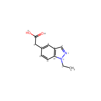 CCn1ncc2cc(CC(=O)O)ccc21